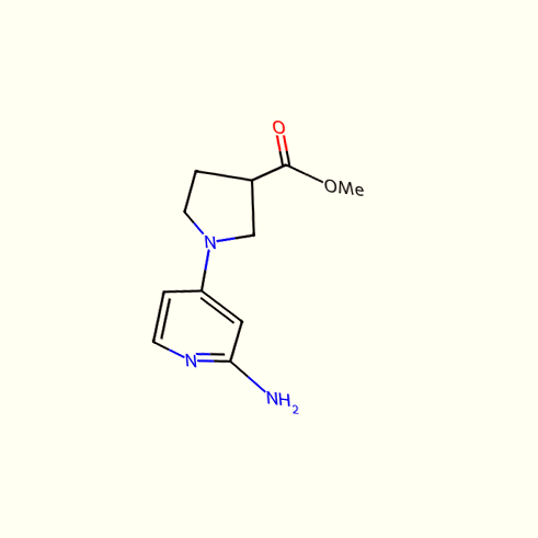 COC(=O)C1CCN(c2ccnc(N)c2)C1